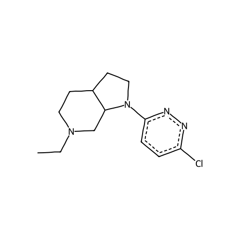 CCN1CCC2CCN(c3ccc(Cl)nn3)C2C1